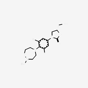 CC(C)(C)N1CCN(c2c(F)cc(N3C[C@H](CO)OC3=O)cc2F)CCO1